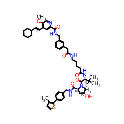 COc1cnc(C(=O)NCc2cccc(CC(=O)NCCCCC(=O)N[C@H](C(=O)N3C[C@H](O)C[C@H]3C(=O)NCc3ccc(-c4sccc4C)cc3)C(C)(C)C)c2)cc1/C=C/C1CCCCC1